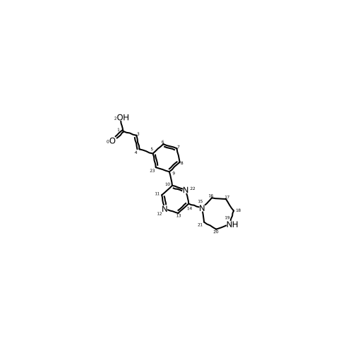 O=C(O)C=Cc1cccc(-c2cncc(N3CCCNCC3)n2)c1